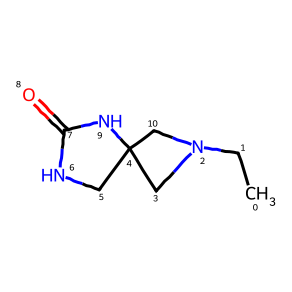 CCN1CC2(CNC(=O)N2)C1